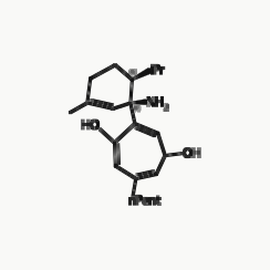 CCCCCC1=CC(O)C=C([C@]2(N)C=C(C)CC[C@H]2C(C)C)C(O)=C1